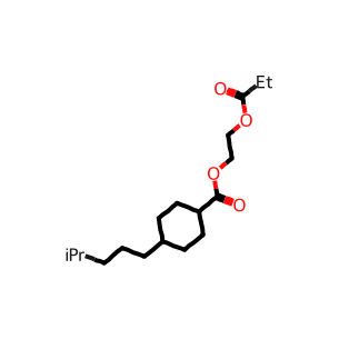 CCC(=O)OCCOC(=O)C1CCC(CCCC(C)C)CC1